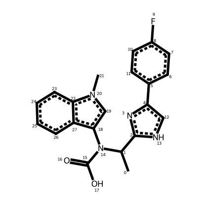 CC(c1nc(-c2ccc(F)cc2)c[nH]1)N(C(=O)O)c1cn(C)c2ccccc12